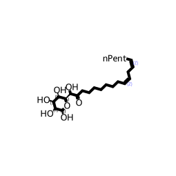 CCCCC/C=C\C/C=C\CCCCCCCC(=O)C(O)[C@H]1O[C@@H](O)[C@H](O)[C@@H](O)[C@@H]1O